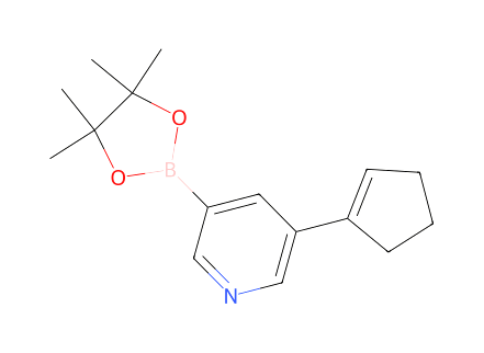 CC1(C)OB(c2cncc(C3=CCCC3)c2)OC1(C)C